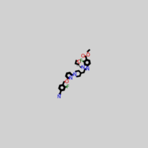 CCOC(=O)c1ccc2nc(CC3CCN(c4cccc(OCc5ccc(C#N)cc5F)n4)CC3)n(C[C@@H]3CCO3)c2c1F